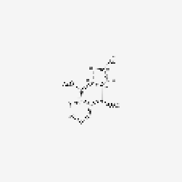 CC(=O)Oc1c2ccccc2c(OC(C)=O)c2oc(C(C)=O)cc12